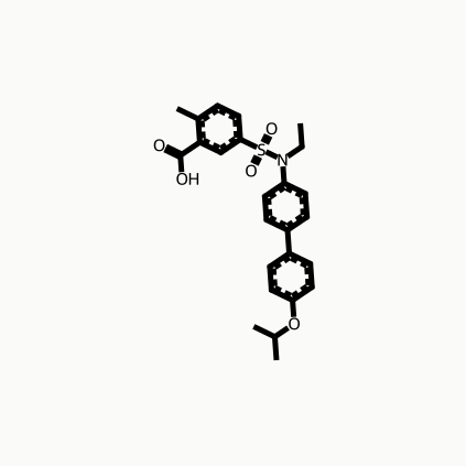 CCN(c1ccc(-c2ccc(OC(C)C)cc2)cc1)S(=O)(=O)c1ccc(C)c(C(=O)O)c1